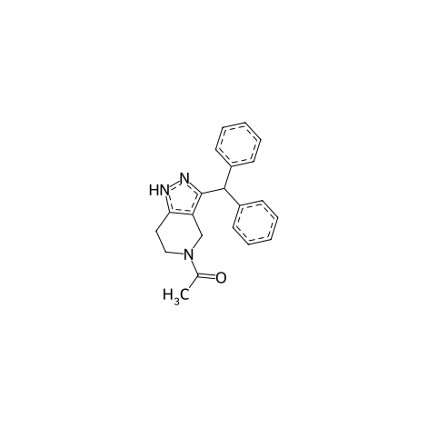 CC(=O)N1CCc2[nH]nc(C(c3ccccc3)c3ccccc3)c2C1